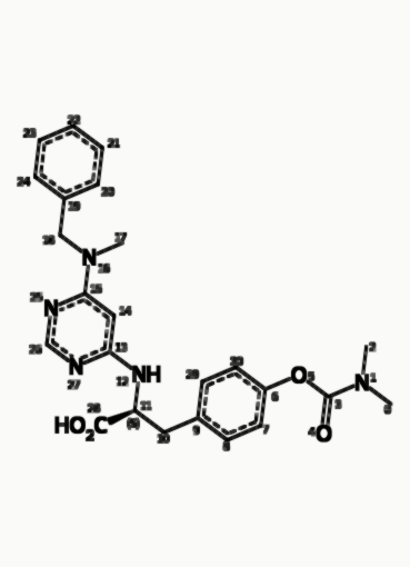 CN(C)C(=O)Oc1ccc(C[C@H](Nc2cc(N(C)Cc3ccccc3)ncn2)C(=O)O)cc1